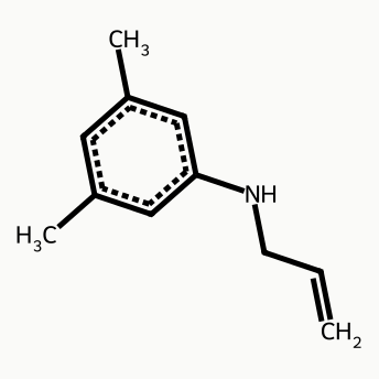 C=CCNc1cc(C)cc(C)c1